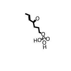 CC=CC(=O)CCCOP(=O)(O)O